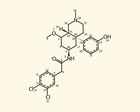 COC1C[C@H](NC(=O)Cc2ccc(Cl)c(Cl)c2)C[C@]2(c3cccc(O)c3)CCN(C)C[C@@H]12